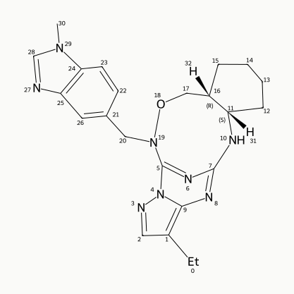 CCc1cnn2c3nc(nc12)N[C@H]1CCCC[C@H]1CON3Cc1ccc2c(c1)ncn2C